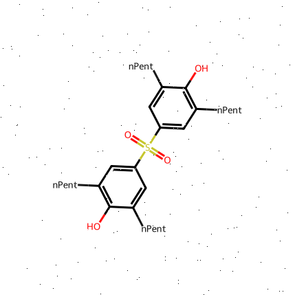 CCCCCc1cc(S(=O)(=O)c2cc(CCCCC)c(O)c(CCCCC)c2)cc(CCCCC)c1O